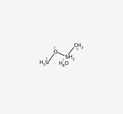 C[SiH2]O[SiH3].O